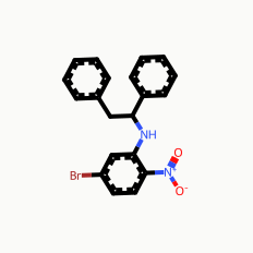 O=[N+]([O-])c1ccc(Br)cc1NC(Cc1ccccc1)c1ccccc1